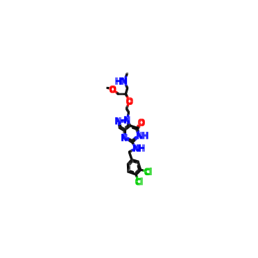 CNCC(COC)OCCn1ncc2nc(NCc3ccc(Cl)c(Cl)c3)[nH]c(=O)c21